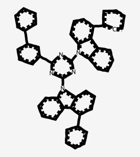 c1ccc(-c2cccc(-c3nc(-n4c5ccccc5c5c(-c6ccccc6)cccc54)nc(-n4c5ccccc5c5c(-c6ccccc6)cccc54)n3)c2)cc1